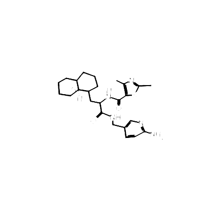 Cc1nc(C)c(C(=O)NC(CC2CCCC3CCCC[C@@H]32)C(=O)NCc2ccc(N)nc2)s1